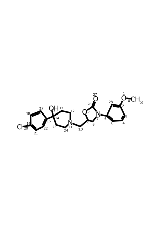 COc1cccc(N2CC(CN3CCC(O)(c4ccc(Cl)cc4)CC3)OC2=O)c1